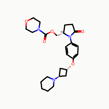 O=C(OC[C@@H]1CCC(=O)N1c1ccc(O[C@H]2C[C@H](N3CCCCC3)C2)cc1)N1CCOCC1